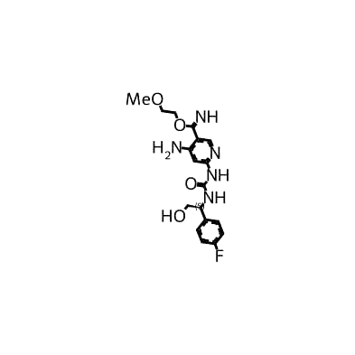 COCCOC(=N)c1cnc(NC(=O)N[C@H](CO)c2ccc(F)cc2)cc1N